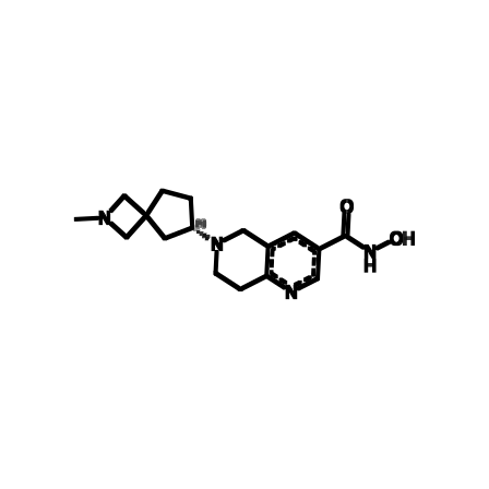 CN1CC2(CC[C@H](N3CCc4ncc(C(=O)NO)cc4C3)C2)C1